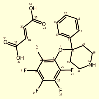 Fc1c(F)c(F)c(OC2(c3ccccc3)CCNCC2)c(F)c1F.O=C(O)C=CC(=O)O